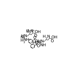 N=C(N)NCCCC(N)C(=O)O.N=C(N)NCCCC(N)C(=O)O.O=C([O-])c1ccccc1.O=C([O-])c1ccccc1.[Zn+2]